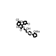 COc1ccccc1N1CCN(CC(O)CSc2c(-c3cc(Cl)ccc3O)c3cc(C(F)(F)F)ccc3[nH]c2=O)CC1